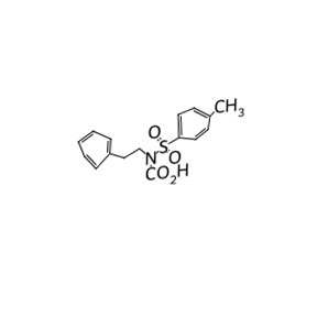 Cc1ccc(S(=O)(=O)N(CCc2ccccc2)C(=O)O)cc1